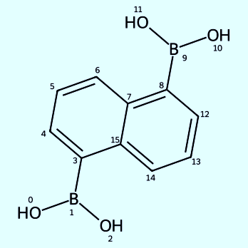 OB(O)c1cccc2c(B(O)O)cccc12